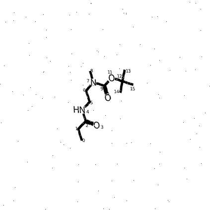 CCC(=O)NCCN(C)C(=O)OC(C)(C)C